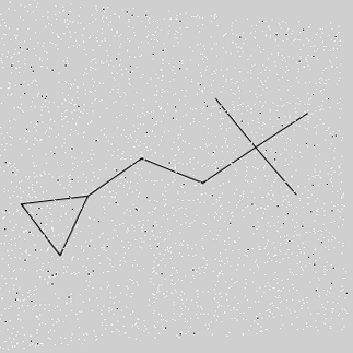 CC(C)(C)CCC1CC1